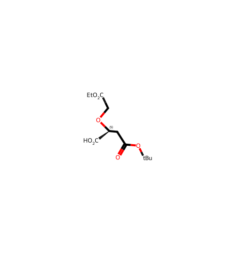 CCOC(=O)CO[C@@H](CC(=O)OC(C)(C)C)C(=O)O